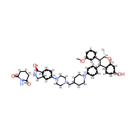 COc1cccc(C2C(c3ccc(N4CCC(CN5CCN(c6ccc7c(c6)CN([C@H]6CCC(=O)NC6=O)C7=O)CC5)CC4)cc3)c3ccc(O)cc3O[C@H]2C)c1